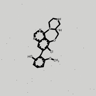 COc1cccc(O)c1-c1cc2ncnc3c2c(c1Cl)OC[C@@H]1CNCCN31